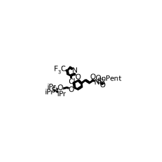 CCCCCS(=O)(=O)NC(=O)C=Cc1ccc(OCCO[Si](C(C)C)(C(C)C)C(C)C)cc1Oc1ncc(C(F)(F)F)cc1Cl